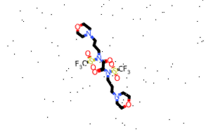 O=C(C(=O)N(CCCN1CCOCC1)S(=O)(=O)C(F)(F)F)N(CCCN1CCOCC1)S(=O)(=O)C(F)(F)F